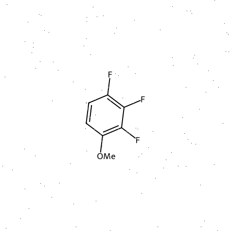 COc1c[c]c(F)c(F)c1F